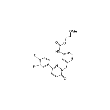 COCCOC(=O)Nc1cccc(Cn2nc(-c3ccc(F)c(F)c3)ccc2=O)c1